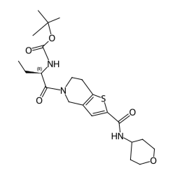 CC[C@@H](NC(=O)OC(C)(C)C)C(=O)N1CCc2sc(C(=O)NC3CCOCC3)cc2C1